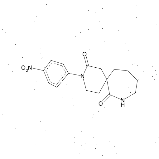 O=C1CC2(CCCCNC2=O)CCN1c1ccc([N+](=O)[O-])cc1